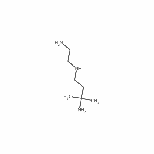 CC(C)(N)CCNCCN